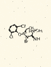 CC=[N+](Oc1c(Cl)cccc1Cl)N(Br)C(=N)NO